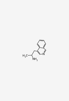 CC(N)Cc1cncc2ccccc12